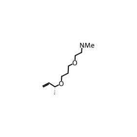 C=C[C@@H](C)OCCCOCCNC